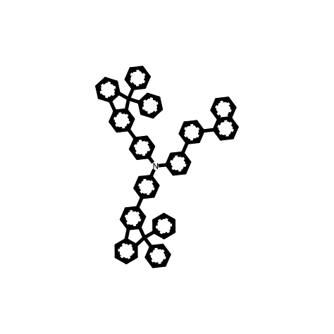 c1ccc(C2(c3ccccc3)c3ccccc3-c3ccc(-c4ccc(N(c5ccc(-c6ccc7c(c6)C(c6ccccc6)(c6ccccc6)c6ccccc6-7)cc5)c5cccc(-c6cccc(-c7cccc8ccccc78)c6)c5)cc4)cc32)cc1